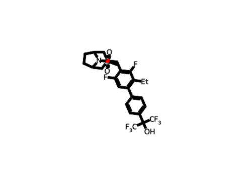 CCc1c(-c2ccc(C(O)(C(F)(F)F)C(F)(F)F)cc2)cc(F)c(CN2CC3CCC(C2)N3S(C)(=O)=O)c1F